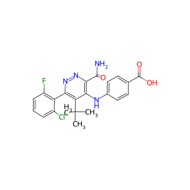 CC(C)(C)c1c(-c2c(F)cccc2Cl)nnc(C(N)=O)c1Nc1ccc(C(=O)O)cc1